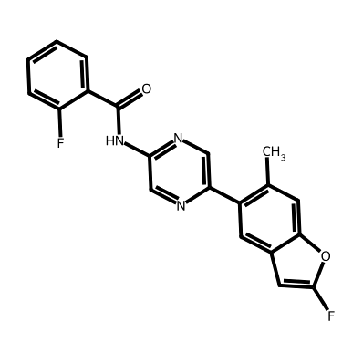 Cc1cc2oc(F)cc2cc1-c1cnc(NC(=O)c2ccccc2F)cn1